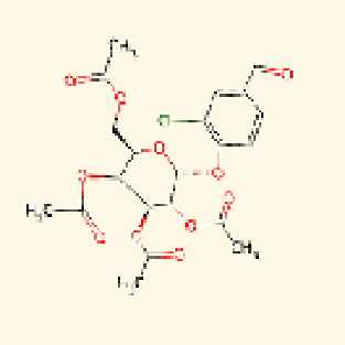 CC(=O)OC[C@H]1O[C@H](Oc2ccc(C=O)cc2Cl)[C@H](OC(C)=O)[C@@H](OC(C)=O)[C@H]1OC(C)=O